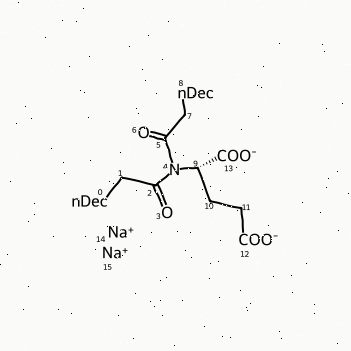 CCCCCCCCCCCC(=O)N(C(=O)CCCCCCCCCCC)[C@@H](CCC(=O)[O-])C(=O)[O-].[Na+].[Na+]